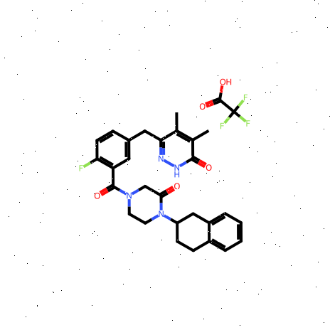 Cc1c(Cc2ccc(F)c(C(=O)N3CCN(C4CCc5ccccc5C4)C(=O)C3)c2)n[nH]c(=O)c1C.O=C(O)C(F)(F)F